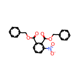 O=C(OCc1ccccc1)c1cccc([N+](=O)[O-])c1C(=O)OCc1ccccc1